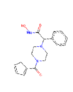 O=C(NO)C(c1ccccc1)N1CCN(C(=O)C2=CC=CC2)CC1